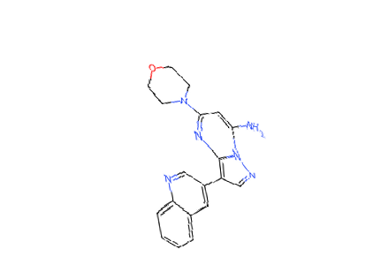 Nc1cc(N2CCOCC2)nc2c(-c3cnc4ccccc4c3)cnn12